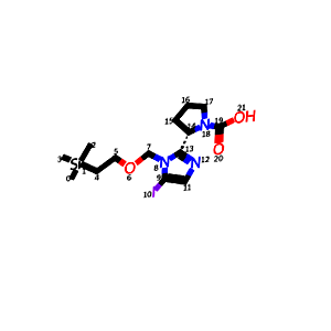 C[Si](C)(C)CCOCn1c(I)cnc1[C@@H]1CCCN1C(=O)O